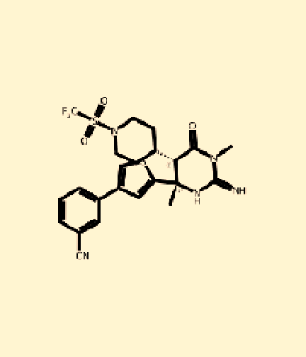 CN1C(=N)N[C@](C)(c2cc(-c3cccc(C#N)c3)cs2)[C@H](C2CCN(S(=O)(=O)C(F)(F)F)CC2)C1=O